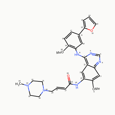 COc1cc2ncnc(Nc3cc(-c4ccco4)ccc3OC)c2cc1NC(=O)/C=C/CN1CCN(C)CC1